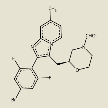 Cc1ccn2c(C[C@H]3CN([C]=O)CCO3)c(-c3c(F)cc(Br)cc3F)nc2c1